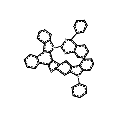 c1ccc(-c2nc(-n3c4ccccc4c4c5ccccc5c5sc6cc7c(cc6c5c43)c3ccccc3n7-c3ccccc3)nc3ccccc23)cc1